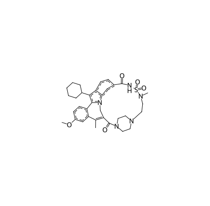 COc1ccc2c(c1)C(C)=C1Cn3c-2c(C2CCCCC2)c2ccc(cc23)C(=O)NS(=O)(=O)N(C)CCN2CCN(CC2)C1=O